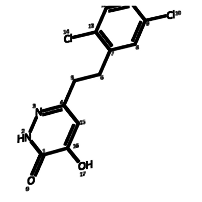 O=c1[nH]nc(CCc2cc(Cl)ccc2Cl)cc1O